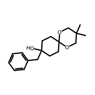 CC1(C)COC2(CCC(O)(Cc3ccccc3)CC2)OC1